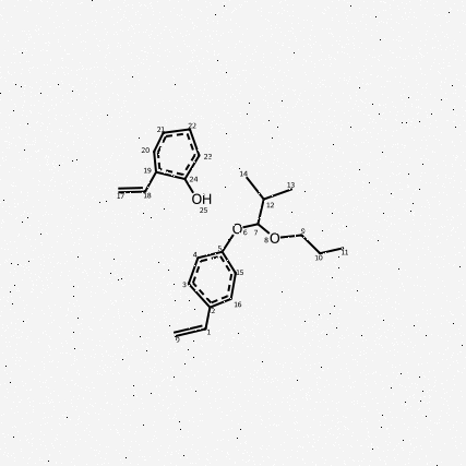 C=Cc1ccc(OC(OCCC)C(C)C)cc1.C=Cc1ccccc1O